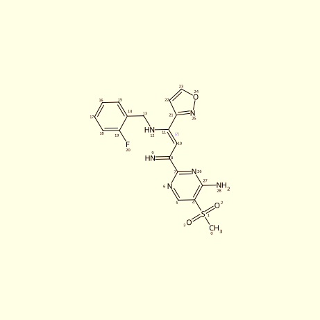 CS(=O)(=O)c1cnc(C(=N)/C=C(\NCc2ccccc2F)c2ccon2)nc1N